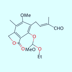 CCOC(OC)Oc1c(C/C=C(\C)C=O)c(OC)c(C)c2c1C(=O)OC2